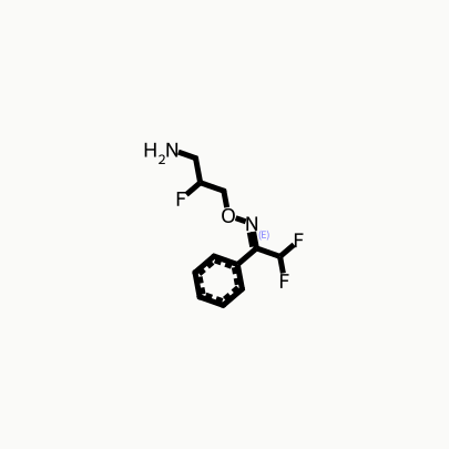 NCC(F)CO/N=C(\c1ccccc1)C(F)F